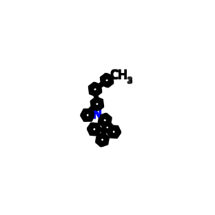 Cc1ccc(-c2cccc(-c3ccc4c(c3)c3ccccc3n4-c3ccc4c(c3)C(c3ccccc3)(c3ccccc3)c3ccccc3-4)c2)cc1